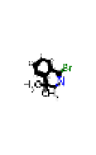 CC1(C)CN=C(Br)c2ccccc21